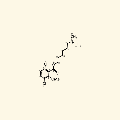 COc1c(Cl)ccc(Cl)c1C(=O)OCCCCCCN(C)C